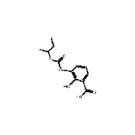 CCC(C)OC(=O)Nc1cccc(C(=O)O)c1O